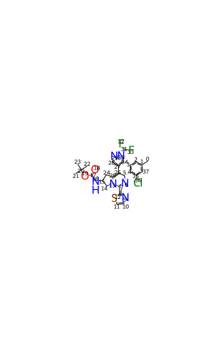 Cc1ccc([C@@H]2N=C(c3nccs3)N3C[C@@H](NC(=O)OC(C)(C)C)CC3=C2c2cnn(C(F)F)c2)c(Cl)c1